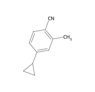 Cc1cc(C2CC2)ccc1C#N